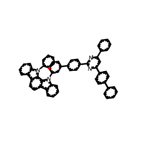 c1ccc(-c2ccc(-c3cc(-c4ccccc4)nc(-c4ccc(-c5cccc(-n6c7ccccc7c7ccc8c9ccccc9n(-c9ccccc9)c8c76)c5)cc4)n3)cc2)cc1